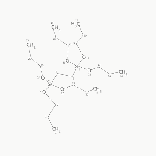 CCCO[Si](CC[Si](OCCC)(OCCC)OCCC)(OCCC)OCCC